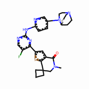 CN1CC2(CCC2)c2sc(-c3nc(Nc4ccc(N5CCN6CCC5CC6)cn4)ncc3F)cc2C1=O